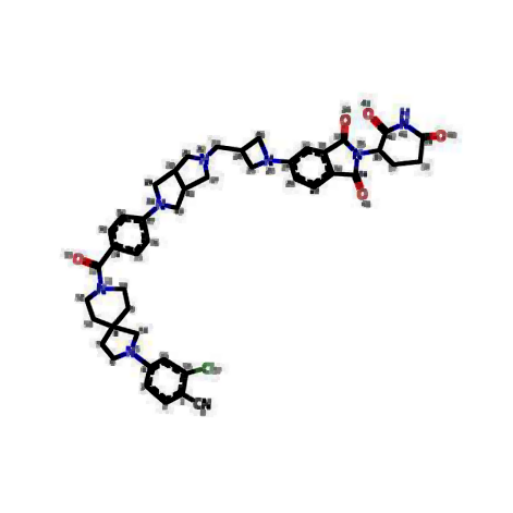 N#Cc1ccc(N2CCC3(CCN(C(=O)c4ccc(N5CC6CN(CC7CN(c8ccc9c(c8)C(=O)N(C8CCC(=O)NC8=O)C9=O)C7)CC6C5)cc4)CC3)C2)cc1Cl